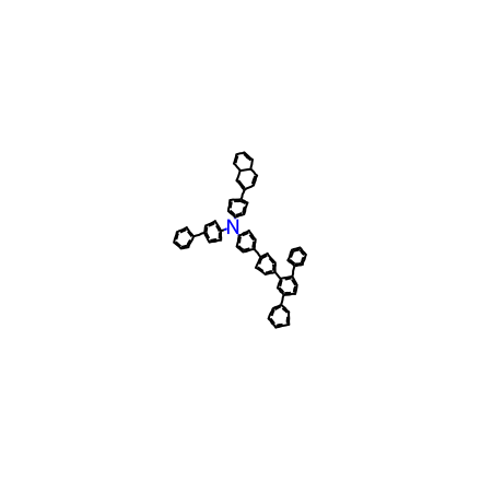 C1=CC2C=CC(c3ccc(N(c4ccc(-c5ccccc5)cc4)c4ccc(-c5ccc(-c6cc(-c7ccccc7)ccc6-c6ccccc6)cc5)cc4)cc3)=CC2C=C1